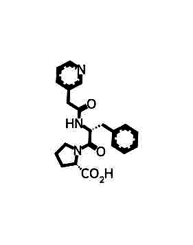 O=C(Cc1cccnc1)N[C@H](Cc1ccccc1)C(=O)N1CCC[C@H]1C(=O)O